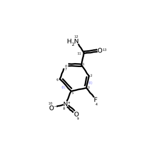 C=C(/C=C(F)\C(=C/C)[N+](=O)[O-])C(N)=O